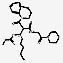 CCCCC[C@H](NC(=O)OC)C(C(=O)NCC(=O)N1CCOCC1)C(=O)N1CCCc2ccccc21